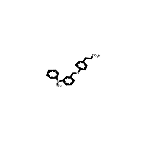 CCCCN(c1ccccc1)c1cccc(COc2ccc(CCC(=O)O)cc2)c1